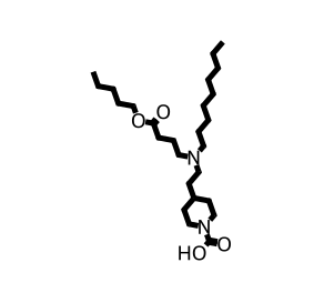 CCCCCCCCCN(CCCC(=O)OCCCCC)CCC1CCN(C(=O)O)CC1